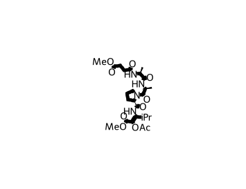 COC(=O)CCC(=O)N[C@@H](C)C(=O)N[C@@H](C)C(=O)N1CCC[C@H]1C(=O)N/C(=C(/OC(C)=O)C(=O)OC)C(C)C